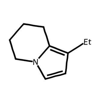 CCc1ccn2c1CCCC2